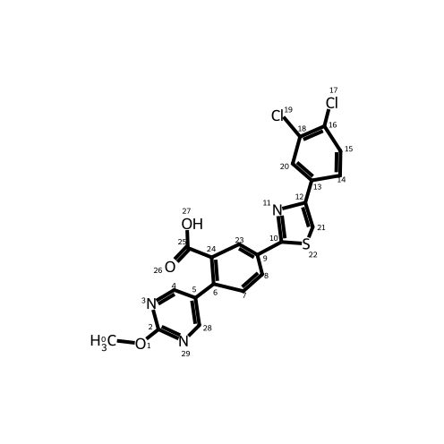 COc1ncc(-c2ccc(-c3nc(-c4ccc(Cl)c(Cl)c4)cs3)cc2C(=O)O)cn1